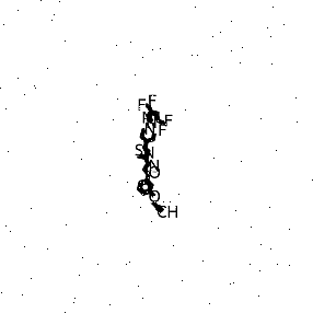 C#CCOc1cccc(C2CC(c3csc(C4CCN(n5nc(C(F)F)cc5C(F)F)CC4)n3)=NO2)c1